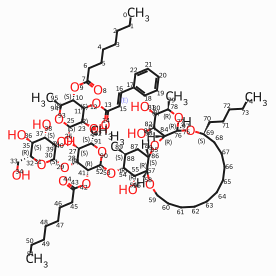 CCCCCCCC(=O)O[C@@H]1[C@@H](OC(=O)/C=C/c2ccccc2)[C@@H](O)[C@H](O[C@@H]2[C@@H](O[C@@H]3O[C@H](CO)[C@@H](O)[C@H](O)[C@H]3O)[C@@H](OC(=O)CCCCCCC)[C@H](O[C@H]3[C@@H](O)[C@H]4OCCCCCCCCCC[C@H](CCCCC)O[C@@H]5O[C@H](C)[C@H](O)[C@H](O)[C@H]5O[C@H]4C[C@@H]3C)O[C@H]2C)O[C@H]1C